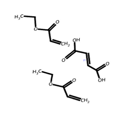 C=CC(=O)OCC.C=CC(=O)OCC.O=C(O)/C=C/C(=O)O